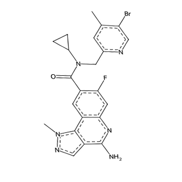 Cc1cc(CN(C(=O)c2cc3c(cc2F)nc(N)c2cnn(C)c23)C2CC2)ncc1Br